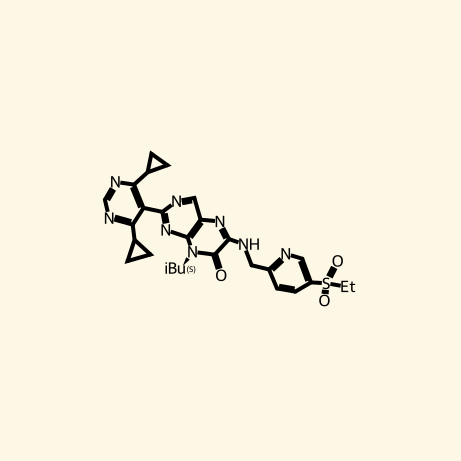 CC[C@H](C)n1c(=O)c(NCc2ccc(S(=O)(=O)CC)cn2)nc2cnc(-c3c(C4CC4)ncnc3C3CC3)nc21